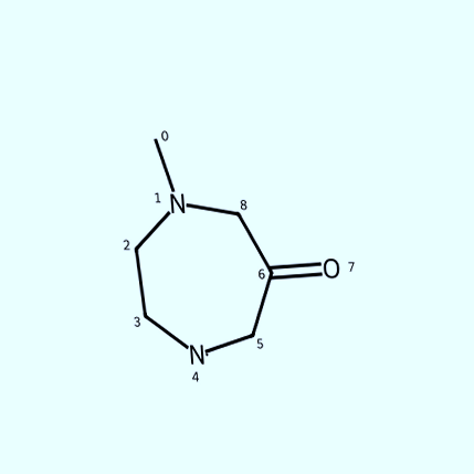 CN1CC[N]CC(=O)C1